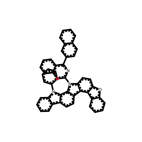 c1ccc(-n2c3ccccc3c3ccc4c5c6c(ccc5n(-c5nc(-c7ccc8ccccc8c7)c7ccccc7n5)c4c32)oc2ccccc26)cc1